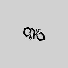 CCC(C)([N+]1([O-])CCCCC1)[N+]1([O-])CCCCC1